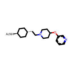 CC(=O)N[C@H]1CC[C@H](CCN2CCC(Oc3cccnc3)CC2)CC1